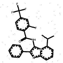 CC(C)c1cccc2nc(-c3ccccc3)c(NC(=O)c3ccc(C(F)(F)F)cc3F)n12